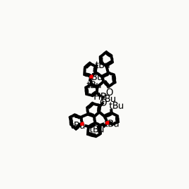 CC(C)(C)c1cccc(C(C)(C)C)c1-c1c(OPOc2ccc(-c3ccccc3)c(-c3c(C(C)(C)C)cccc3C(C)(C)C)c2-c2c(C(C)(C)C)cccc2C(C)(C)C)ccc(-c2ccccc2)c1-c1c(C(C)(C)C)cccc1C(C)(C)C